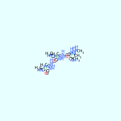 CNC1CC(C)NC(Nc2cc3c(c(C4=C[C@@H](C)NCCC4)c2F)OC(CNC2CC(C)NC(Nc4cc5c(c(C6=CCN[C@H](C)CC6)c4F)OC(CNC4CC(C)NC(Nc6cc7c(c(C8=CCN[C@@H](C)CC8)c6F)OCC7)N4)C5)N2)C3)N1